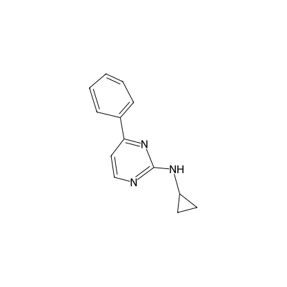 c1ccc(-c2ccnc(NC3CC3)n2)cc1